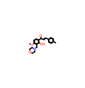 COc1ccc(C(=O)/C=C/c2ccc(C)cc2)c(O)c1CN1CCOCC1